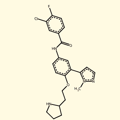 Cn1nccc1-c1cc(NC(=O)c2ccc(F)c(Cl)c2)ccc1OCCC1CCCN1